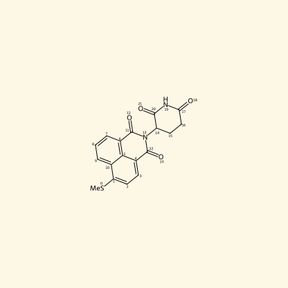 CSc1ccc2c3c(cccc13)C(=O)N(C1CCC(=O)NC1=O)C2=O